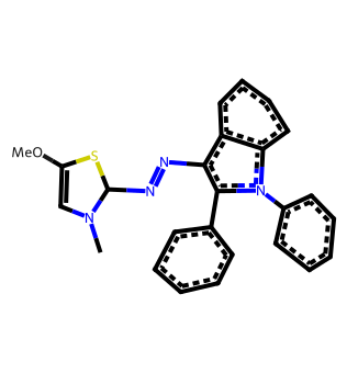 COC1=CN(C)C(N=Nc2c(-c3ccccc3)n(-c3ccccc3)c3ccccc23)S1